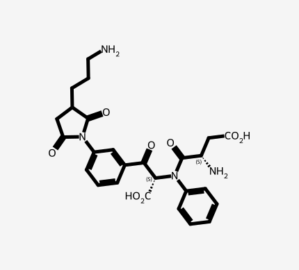 NCCCC1CC(=O)N(c2cccc(C(=O)[C@@H](C(=O)O)N(C(=O)[C@@H](N)CC(=O)O)c3ccccc3)c2)C1=O